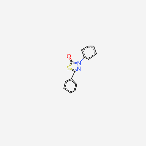 O=c1sc(-c2ccccc2)nn1-c1ccccc1